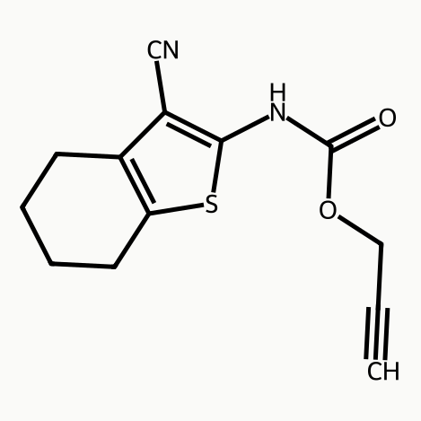 C#CCOC(=O)Nc1sc2c(c1C#N)CCCC2